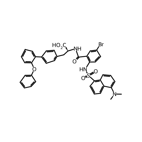 CN(C)c1cccc2c(S(=O)(=O)Nc3ccc(Br)cc3C(=O)N[C@@H](Cc3ccc(-c4ccccc4Oc4ccccc4)cc3)C(=O)O)cccc12